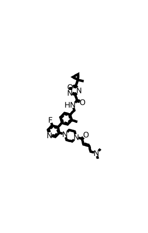 Cc1cc(-c2c(F)cncc2N2CCN(C(=O)C=CCN(C)C)CC2)ccc1CNC(=O)c1noc(C2(C)CC2)n1